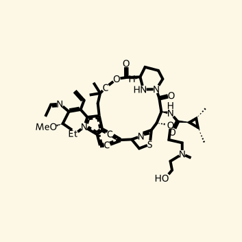 C=C/C(=C(\N=C/C)[C@H](C)OC)c1c2c3cc(ccc3n1CC)C1CSC(=N1)[C@@H](OCCN(C)CCO)[C@H](NC(=O)[C@H]1[C@H](C)[C@@H]1C)C(=O)N1CCC[C@H](N1)C(=O)OCC(C)(C)C2